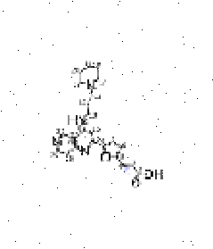 O=C(O)/C=C/c1ccc(-c2cc(NCCCN3CCCCC3)c3cnccc3n2)o1